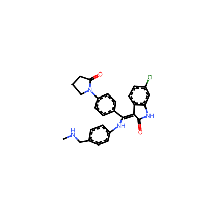 CNCc1ccc(N/C(=C2\C(=O)Nc3cc(Cl)ccc32)c2ccc(N3CCCC3=O)cc2)cc1